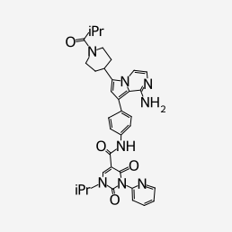 CC(C)C(=O)N1CCC(c2cc(-c3ccc(NC(=O)c4cn(C(C)C)c(=O)n(-c5ccccn5)c4=O)cc3)c3c(N)nccn23)CC1